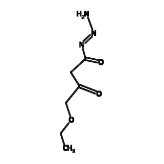 CCOCC(=O)CC(=O)N=NN